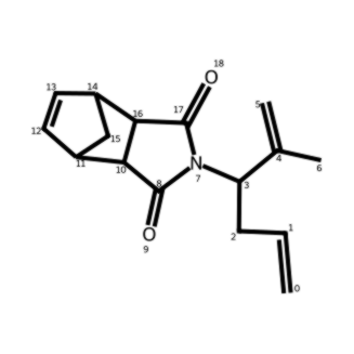 C=CCC(C(=C)C)N1C(=O)C2C3C=CC(C3)C2C1=O